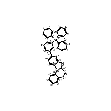 c1ccc([Si](c2ccccc2)(c2ccccc2)c2cccc(-c3ccc4c(c3)nc3n4-c4ccccc4CS3)c2)cc1